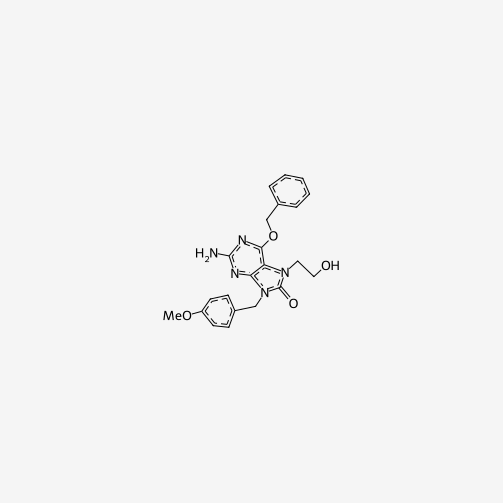 COc1ccc(Cn2c(=O)n(CCO)c3c(OCc4ccccc4)nc(N)nc32)cc1